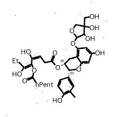 CCCCCC(=O)OC(=C(\O)CC)/C(O)=C\CC(=O)O[C@@H]1Cc2c(OC3OCC(O)(CO)C3O)cc(O)cc2O[C@@H]1c1ccc(O)c(C)c1